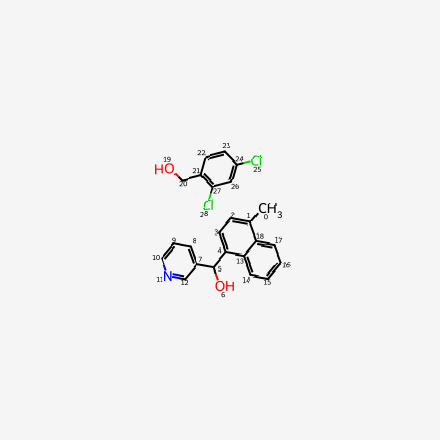 Cc1ccc(C(O)c2cccnc2)c2ccccc12.OCc1ccc(Cl)cc1Cl